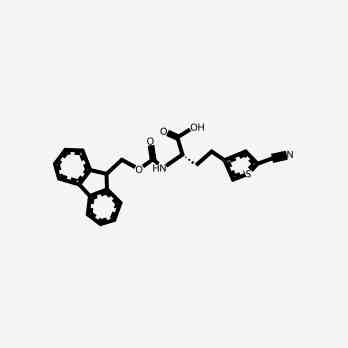 N#Cc1cc(CC[C@H](NC(=O)OCC2c3ccccc3-c3ccccc32)C(=O)O)cs1